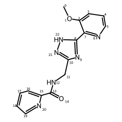 COc1cccnc1-c1nc(CNC(=O)c2ccccn2)n[nH]1